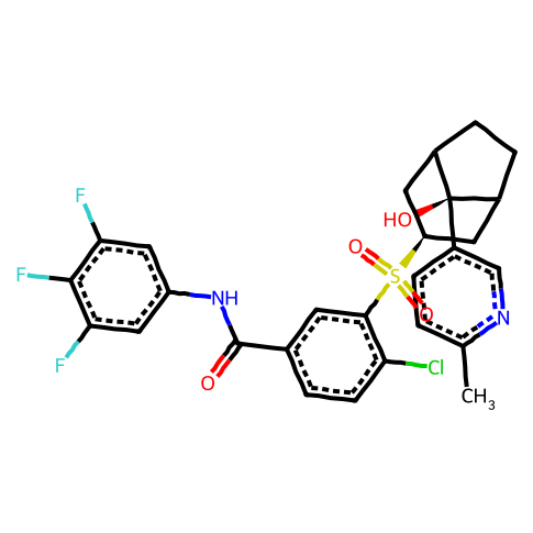 Cc1ccc([C@]2(O)C3CCC2C[C@@H](S(=O)(=O)c2cc(C(=O)Nc4cc(F)c(F)c(F)c4)ccc2Cl)C3)cn1